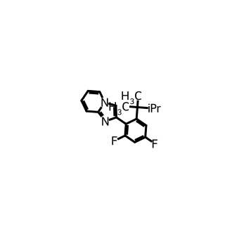 CC(C)C(C)(C)c1cc(F)cc(F)c1-c1cn2ccccc2n1